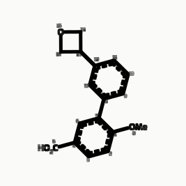 COc1ccc(C(=O)O)cc1-c1cccc(C2COC2)c1